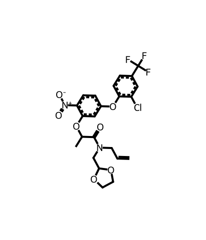 C=CCN(CC1OCCO1)C(=O)C(C)Oc1cc(Oc2ccc(C(F)(F)F)cc2Cl)ccc1[N+](=O)[O-]